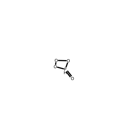 O=[PH]1OOO1